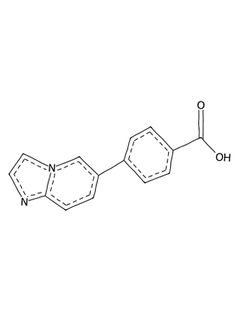 O=C(O)c1ccc(-c2ccc3nccn3c2)cc1